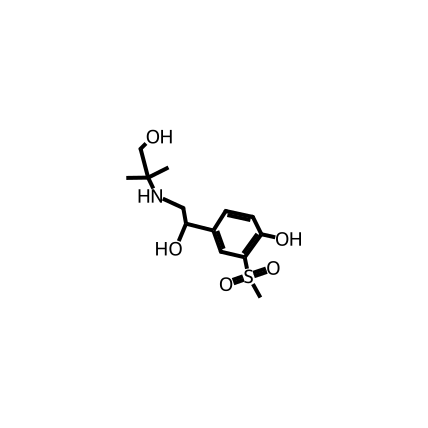 CC(C)(CO)NCC(O)c1ccc(O)c(S(C)(=O)=O)c1